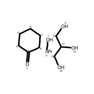 CCCO.O=C1CCCCC1.OCC(O)CO